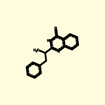 CC(Cc1ccccc1)c1nc2ccccc2c(=O)[nH]1